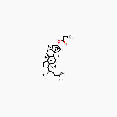 CCCCCCCCCCCC(=O)O[C@H]1CC[C@@]2(C)[C@@H](CC[C@@H]3[C@@H]2CC[C@]2(C)[C@@H]([C@H](C)CC[C@@H](CC)C(C)C)CC[C@@H]32)C1